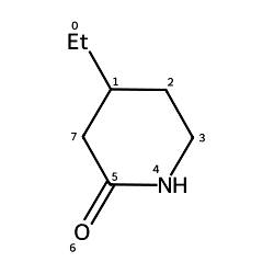 CCC1CCNC(=O)C1